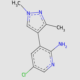 Cc1nn(C)cc1-c1cc(Cl)cnc1N